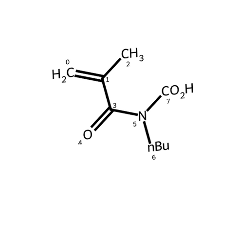 C=C(C)C(=O)N(CCCC)C(=O)O